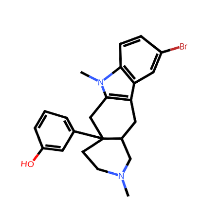 CN1CCC2(c3cccc(O)c3)Cc3c(c4cc(Br)ccc4n3C)CC2C1